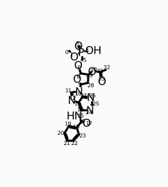 COP(=O)(O)COC1OC(n2cnc3c(NC(=O)c4ccccc4)ncnc32)CC1OC(C)=O